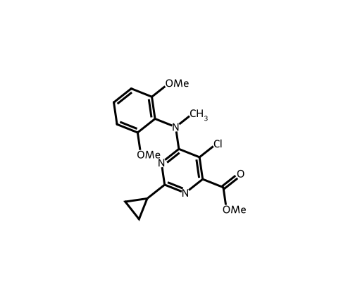 COC(=O)c1nc(C2CC2)nc(N(C)c2c(OC)cccc2OC)c1Cl